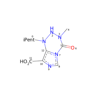 CCCC(C)N1NN(C)C(=O)n2cnc(C(=O)O)c21